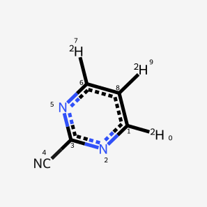 [2H]c1nc(C#N)nc([2H])c1[2H]